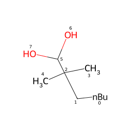 CCCCCC(C)(C)C(O)O